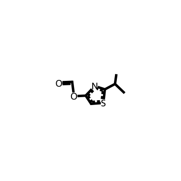 CC(C)c1nc(OC=O)cs1